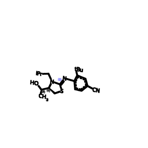 CC(C)CN1/C(=N/c2ccc(C#N)cc2C(C)(C)C)SC[C@H]1[C@@H](C)O